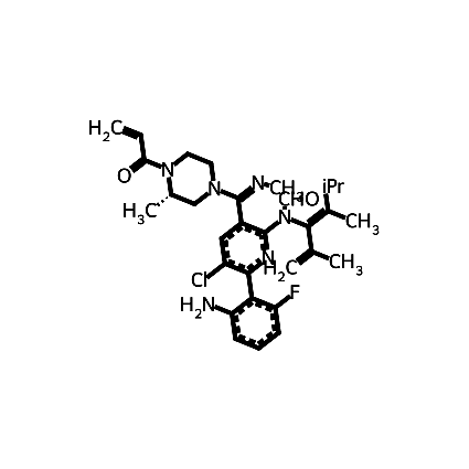 C=CC(=O)N1CCN(/C(=N/C)c2cc(Cl)c(-c3c(N)cccc3F)nc2N(C=O)/C(C(=C)C)=C(/C)C(C)C)C[C@@H]1C